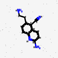 N#Cc1c(CCN)ccc2nc(N)ccc12